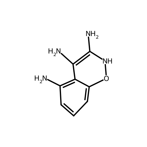 NC1=C(N)c2c(N)cccc2ON1